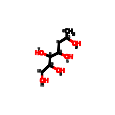 CC(O)CC(O)C(O)C(O)CO